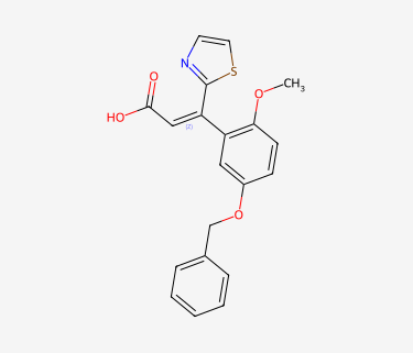 COc1ccc(OCc2ccccc2)cc1/C(=C/C(=O)O)c1nccs1